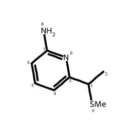 CSC(C)c1cccc(N)n1